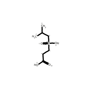 CC(C)CP(=O)(O)CCC(=O)O